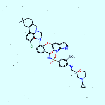 CC1(C)CCC(CN2CCN(c3cccc(C(=O)NS(=O)(=O)c4ccc(NC[C@@H]5CN(C6CC6)CCO5)c([N+](=O)[O-])c4)c3Oc3cnc4[nH]ccc4c3)CC2)=C(c2ccc(Cl)cc2)C1